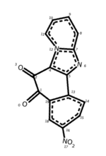 O=C1C(=O)c2c(nc3ccccn23)-c2ccc([N+](=O)[O-])cc21